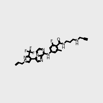 C#CCNCCCNC(=O)c1c(C)cc(Nc2nccn3c(-c4cn(CC=C)nc4C(F)(F)F)cnc23)cc1F